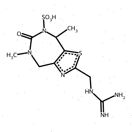 CC1c2sc(CNC(=N)N)nc2CN(C)C(=O)N1S(=O)(=O)O